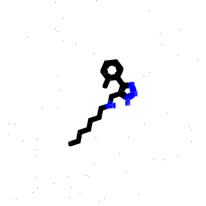 CCCCCCCNCc1[nH]nnc1-c1ccccc1C